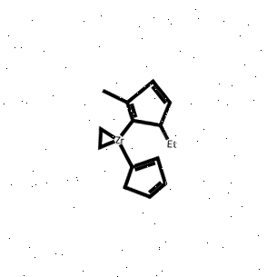 CCC1C=CC(C)=[C]1[Zr]1([C]2=CC=CC2)[CH2][CH2]1